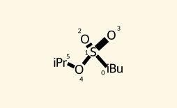 CCC(C)S(=O)(=O)OC(C)C